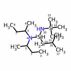 CCC(C)N(C(C)CC)[SiH](N[Si](C)(C)C)[SiH2]C(C)C